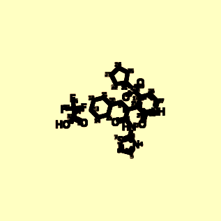 O=C(Nc1nccs1)C(CC1CCCCC1)c1c(S(=O)(=O)C2CCCC2)cc[nH]c1=O.O=C(O)C(F)(F)F